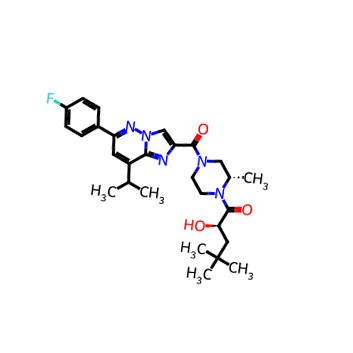 CC(C)c1cc(-c2ccc(F)cc2)nn2cc(C(=O)N3CCN(C(=O)[C@H](O)CC(C)(C)C)[C@@H](C)C3)nc12